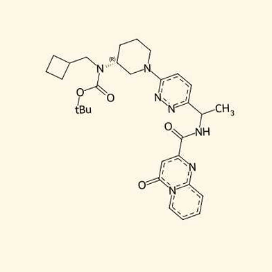 CC(NC(=O)c1cc(=O)n2ccccc2n1)c1ccc(N2CCC[C@@H](N(CC3CCC3)C(=O)OC(C)(C)C)C2)nn1